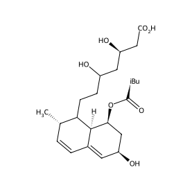 CC[C@H](C)C(=O)O[C@H]1C[C@@H](O)C=C2C=C[C@H](C)C(CCC(O)C[C@@H](O)CC(=O)O)[C@H]21